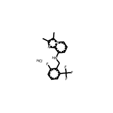 Cc1nc2c(NCc3c(F)cccc3C(F)(F)F)cccn2c1C.Cl